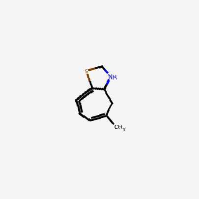 CC1=CC=C=C2SCNC2C1